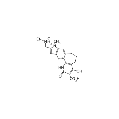 CCN(C)Cc1cc2cc3c(cc2n1C)CCCc1c-3[nH]c(=O)c(C(=O)O)c1O